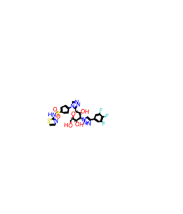 O=S(=O)(Nc1nccs1)c1ccc(-n2cnnc2[C@@H]2O[C@H](CO)[C@H](O)[C@H](n3cc(-c4cc(F)c(F)c(F)c4)nn3)[C@H]2O)cc1